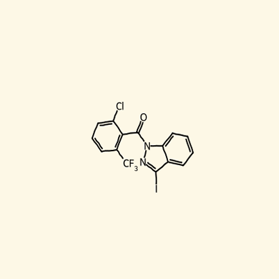 O=C(c1c(Cl)cccc1C(F)(F)F)n1nc(I)c2ccccc21